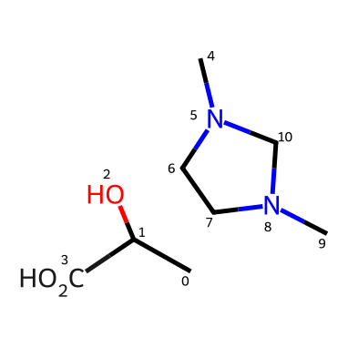 CC(O)C(=O)O.CN1CCN(C)C1